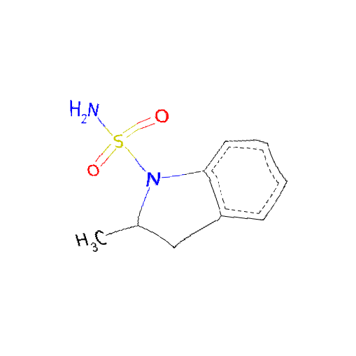 CC1Cc2ccccc2N1S(N)(=O)=O